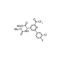 COC(=O)C(NC(=O)OC(C)(C)C)c1cc(C(=O)C(F)(F)F)nc(-c2ccc(F)c(Cl)c2)c1